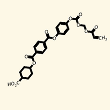 C=CC(=O)OCOC(=O)Oc1ccc(OC(=O)c2ccc(C(=O)OC3CCC(C(=O)O)CC3)cc2)cc1